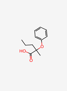 CCCC(C)(Oc1ccccc1)C(=O)O